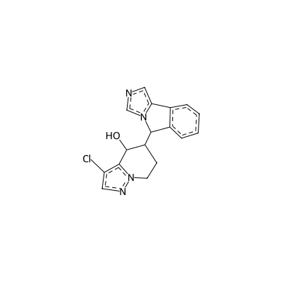 OC1c2c(Cl)cnn2CCC1C1c2ccccc2-c2cncn21